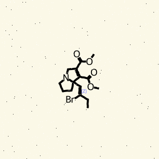 CC/C(Br)=C/C12CCCN1CC(C(=O)OC)=C2C(=O)OC